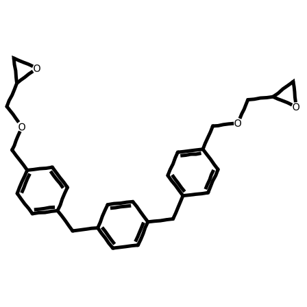 c1cc(Cc2ccc(Cc3ccc(COCC4CO4)cc3)cc2)ccc1COCC1CO1